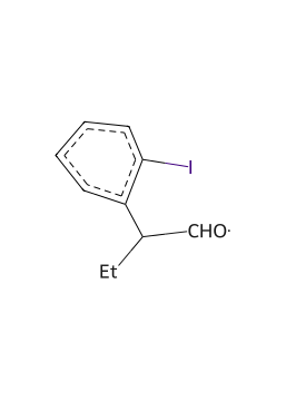 CCC([C]=O)c1ccccc1I